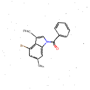 COc1cc(Br)c2c(C=O)cn(C(=O)c3ccccc3)c2c1